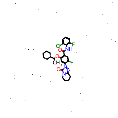 CC(Oc1cc(-n2nc3n(c2=O)CCCC3)c(F)cc1C(=O)Nc1c(F)cccc1Cl)C1CCCCC1